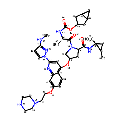 CCC1CC1(NC(=O)C1C[C@@H](Oc2cc(-n3ccc(NC(C)C)n3)nc3cc(OCCN4CCNCC4)ccc23)CN1C(=O)[C@@H](NC(=O)OC1CC2CC2C1)C(C)(C)C)C(=O)O